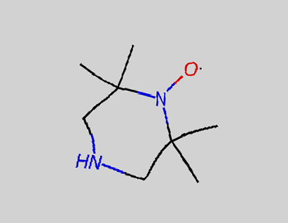 CC1(C)CNCC(C)(C)N1[O]